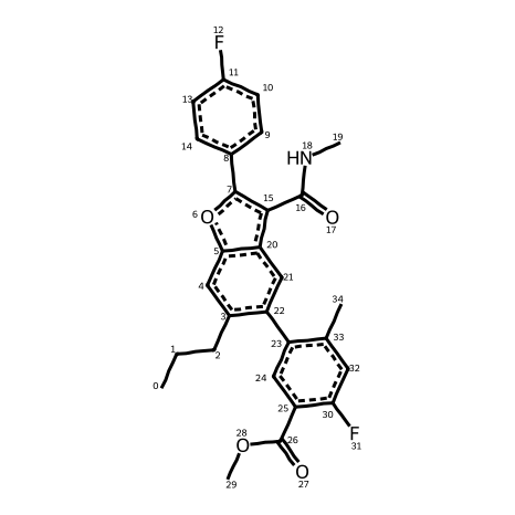 CCCc1cc2oc(-c3ccc(F)cc3)c(C(=O)NC)c2cc1-c1cc(C(=O)OC)c(F)cc1C